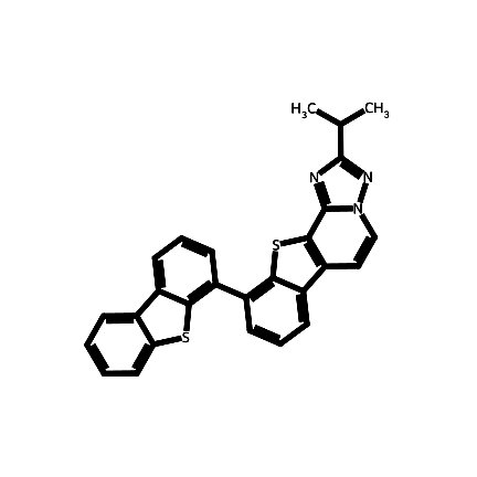 CC(C)c1nc2c3sc4c(-c5cccc6c5sc5ccccc56)cccc4c3ccn2n1